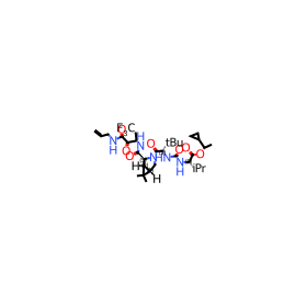 C=CCNC(=O)C(=O)C(CC(F)(F)F)NC(=O)[C@@H]1[C@@H]2[C@H](CN1C(=O)[C@@H](NC(=O)N[C@H](C(=O)OC(C)C1CC1)C(C)C)C(C)(C)C)C2(C)C